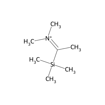 CC(=[N+](C)C)[Si](C)(C)C